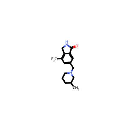 CC1CCCN(Cc2cc3c(c(C(F)(F)F)c2)CNC3=O)C1